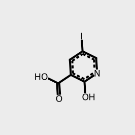 O=C(O)c1cc(I)cnc1O